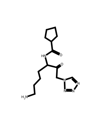 NCCCCC(NC(=O)C1CCCC1)C(=O)Cn1cnnn1